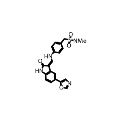 CNS(=O)(=O)Cc1ccc(NC=C2C(=O)Nc3ccc(-c4cnco4)cc32)cc1